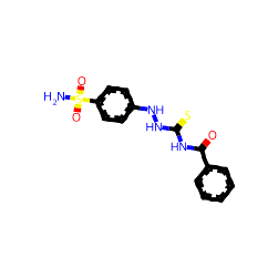 NS(=O)(=O)c1ccc(NNC(=S)NC(=O)c2ccccc2)cc1